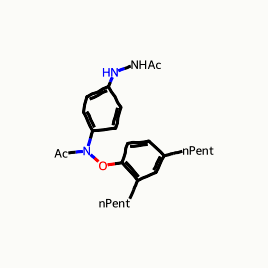 CCCCCc1ccc(ON(C(C)=O)c2ccc(NNC(C)=O)cc2)c(CCCCC)c1